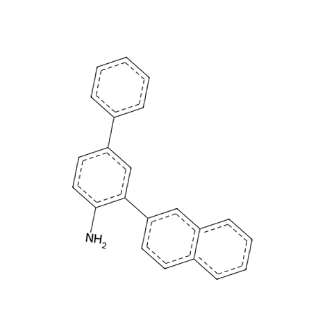 Nc1ccc(-c2ccccc2)cc1-c1ccc2ccccc2c1